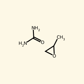 CC1CO1.NC(N)=O